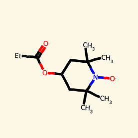 CCC(=O)OC1CC(C)(C)N([O])C(C)(C)C1